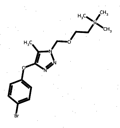 Cc1c(Oc2ccc(Br)cc2)nnn1COCC[Si](C)(C)C